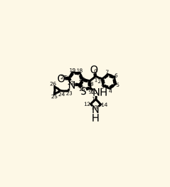 O=C(c1ccccc1)c1c(NC2CNC2)sc2c1ccc(=O)n2CC1CC1